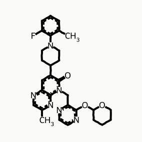 Cc1cnc2cc(C3CCN(c4c(C)cccc4F)CC3)c(=O)n(Cc3nccnc3OC3CCCCO3)c2n1